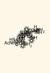 CC(=O)N[C@@H](CS)C(=O)N[C@@H](Cc1ccccc1)C(=O)N[C@@H](CCCN)C(=O)N1CCC[C@H]1C(=O)N[C@H](CC1CCCCC1)C(=O)N[C@@H](Cc1c[nH]c2ccccc12)C(=O)N[C@@H](CCCNC(=N)N)C(=O)O